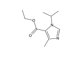 CCOC(=O)c1c(C)ncn1C(C)C